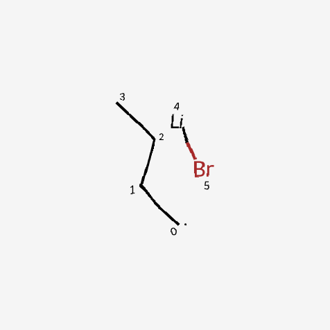 [CH2]CCC.[Li][Br]